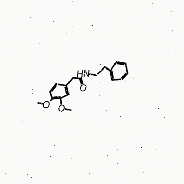 COc1ccc(CC(=O)NCCc2ccccc2)cc1OC